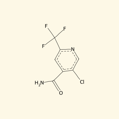 NC(=O)c1cc(C(F)(F)F)ncc1Cl